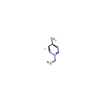 CC[n+]1ccc(C)cc1.[F-]